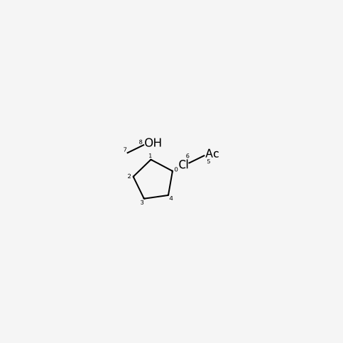 C1CCCC1.CC(=O)Cl.CO